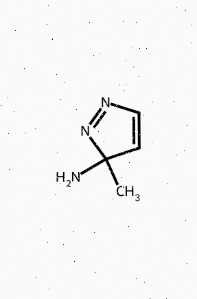 CC1(N)C=CN=N1